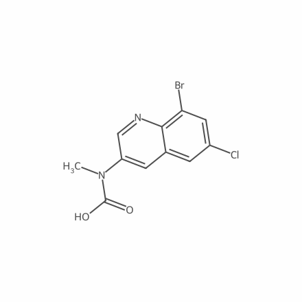 CN(C(=O)O)c1cnc2c(Br)cc(Cl)cc2c1